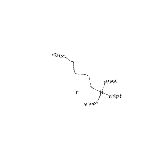 CCCCCCCCCCCCCC[N+](CCCCCCC)(CCCCCCC)CCCCCCC.[I-]